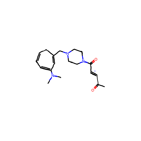 CC(=O)/C=C/C(=O)N1CCN(CC2=CC(N(C)C)=CC=CC2)CC1